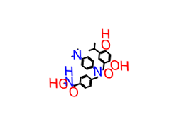 CC(C)c1cc(C(=O)N(Cc2ccc(C(=O)NO)cc2)c2ccc(N(C)C)cc2)c(O)cc1O